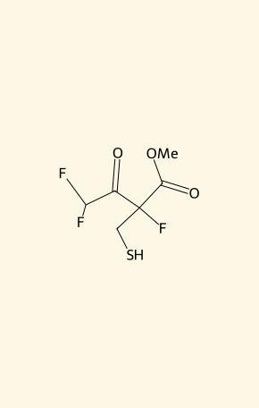 COC(=O)C(F)(CS)C(=O)C(F)F